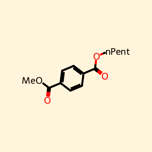 CCCCCOC(=O)c1ccc(C(=O)OC)cc1